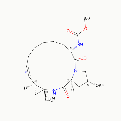 CC(=O)O[C@@H]1C[C@H]2C(=O)N[C@]3(C(=O)O)C[C@H]3/C=C\CCCCC[C@H](NC(=O)OC(C)(C)C)C(=O)N2C1